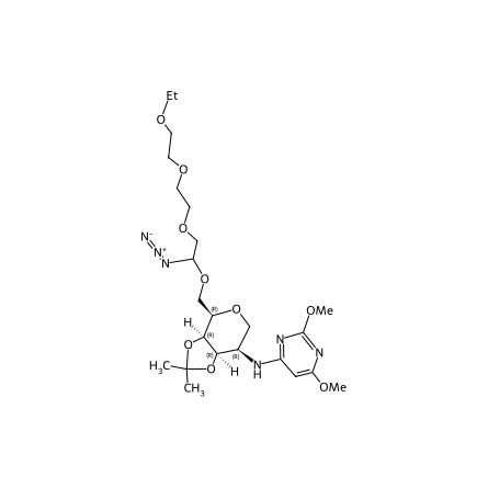 CCOCCOCCOCC(N=[N+]=[N-])OC[C@H]1OC[C@@H](Nc2cc(OC)nc(OC)n2)[C@H]2OC(C)(C)O[C@H]21